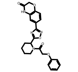 O=C1COc2ccc(-c3noc(C4CCCCN4C(=O)COc4ccccc4)n3)cc2N1